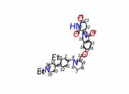 CCc1cc(CN2CCCCC2COc2ccc3c(c2)CN(C2CCC(=O)NC2=O)C3=O)ccc1C1CCN(CC)CC1